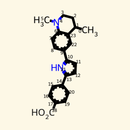 CC1CCN(C)c2ccc(-c3ccc(-c4ccc(C(=O)O)cc4)[nH]3)cc21